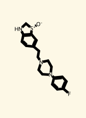 [O-][S+]1CNc2ccc(CCN3CCN(c4ccc(F)cc4)CC3)cc21